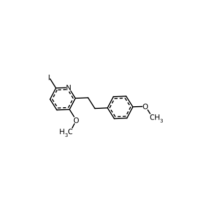 COc1ccc(CCc2nc(I)ccc2OC)cc1